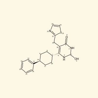 O=C1NC(O)NC([C@H]2CC[C@H](c3ccccc3)CC2)=C1Cc1nccs1